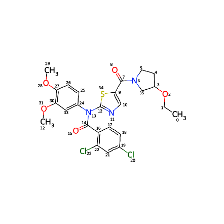 CCOC1CCN(C(=O)c2cnc(N(C(=O)c3ccc(Cl)cc3Cl)c3ccc(OC)c(OC)c3)s2)C1